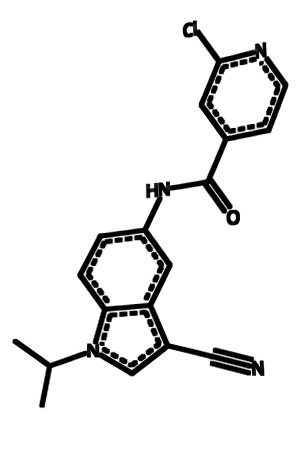 CC(C)n1cc(C#N)c2cc(NC(=O)c3ccnc(Cl)c3)ccc21